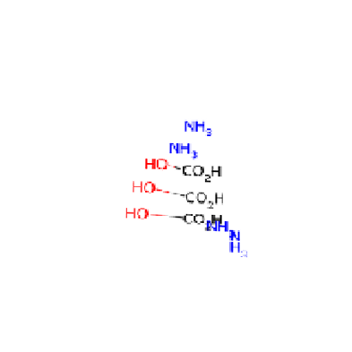 N.N.N.N.O=C(O)O.O=C(O)O.O=C(O)O